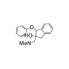 CNCC1(O)Cc2ccccc2C1Oc1ccccc1